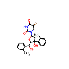 Cc1ccccc1C(O)[C@H]1O[C@@H](N2CC(=S)C(=O)NC2=O)C[C@@]1(O)c1ccccc1C